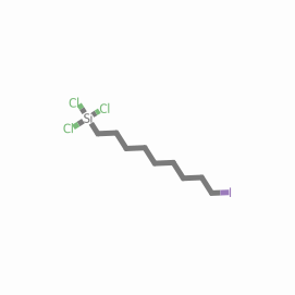 Cl[Si](Cl)(Cl)CCCCCCCCCI